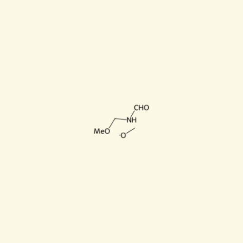 COCNC=O.C[O]